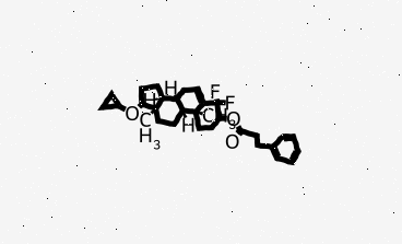 C[C@]12CCC(OC(=O)CCc3ccccc3)C(F)(F)C1=CC[C@@H]1[C@H]2CC[C@]2(C)C(OC3CC3)CC[C@@H]12